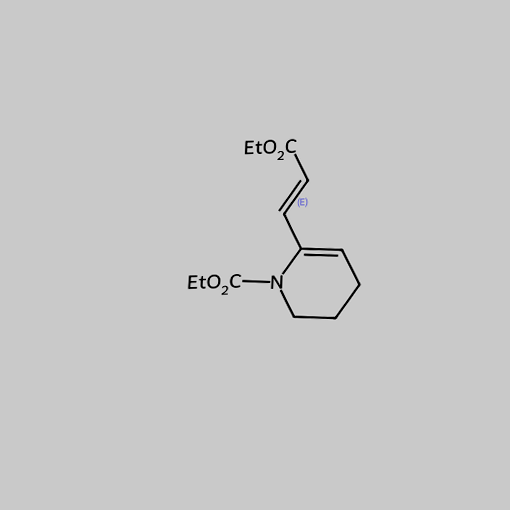 CCOC(=O)/C=C/C1=CCCCN1C(=O)OCC